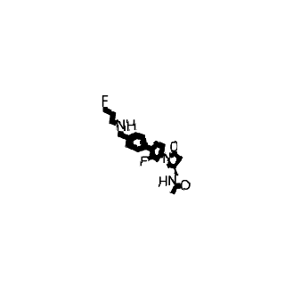 CC(=O)NC[C@@H]1CC(=O)N(c2ccc(-c3ccc(CNCCCF)cc3)c(F)c2)C1